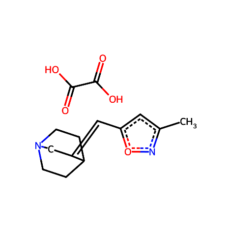 Cc1cc(C=C2CN3CCC2CC3)on1.O=C(O)C(=O)O